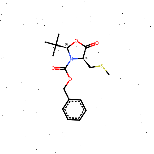 CSC[C@@H]1C(=O)O[C@H](C(C)(C)C)N1C(=O)OCc1ccccc1